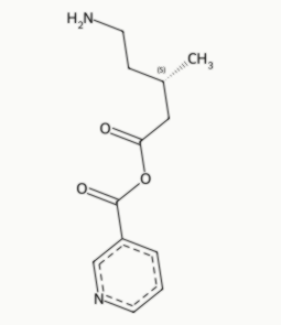 C[C@@H](CCN)CC(=O)OC(=O)c1cccnc1